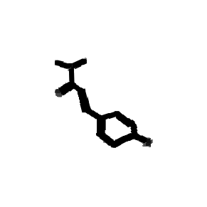 CN(C)C(=O)C=Cc1ccc(Br)cc1